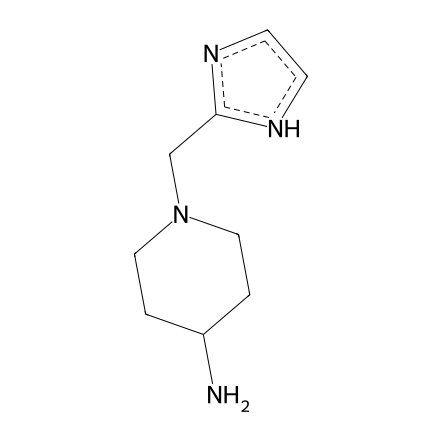 NC1CCN(Cc2ncc[nH]2)CC1